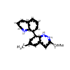 COc1cc2cc(C)cc(-c3cccc4cccnc34)c2nn1